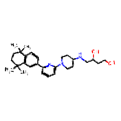 CC1(C)CCC(C)(C)c2cc(-c3cccc(N4CCC(NC[C@@H](O)CCO)CC4)n3)ccc21